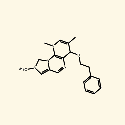 CON1C=C2C=NC3=C(N(C)C=C(C)C3OCCc3ccccc3)N2C1